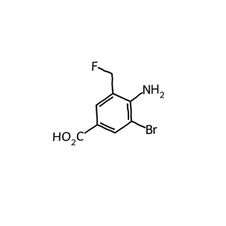 Nc1c(Br)cc(C(=O)O)cc1CF